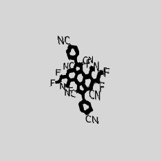 N#Cc1ccc(-c2c(C#N)c3c4c2c(C#N)c2c(F)c(F)nc(F)c2c4c2c(C#N)c(-c4ccc(C#N)cc4)c4c(C#N)c5c(F)c(F)nc(F)c5c3c42)cc1